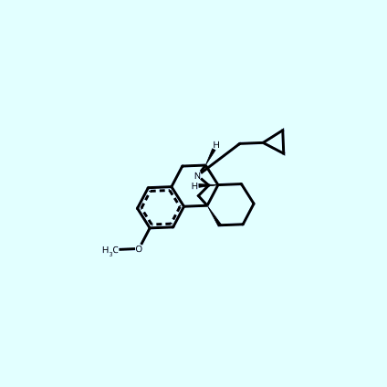 COc1ccc2c(c1)[C@@]13CCCC[C@H]1[C@@H](C2)N(CC1CC1)CC3